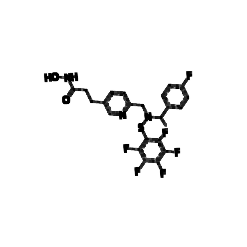 CC(c1ccc(F)cc1)N(Cc1ccc(CCC(=O)NO)cn1)Sc1c(F)c(F)c(F)c(F)c1F